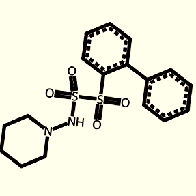 O=S(=O)(NN1CCCCC1)S(=O)(=O)c1ccccc1-c1ccccc1